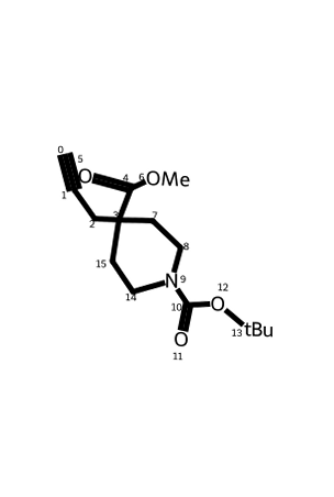 C#CCC1(C(=O)OC)CCN(C(=O)OC(C)(C)C)CC1